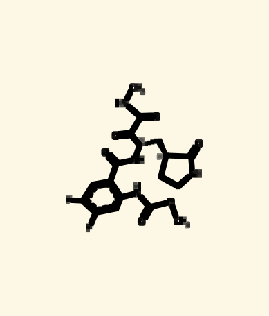 CNC(=O)C(=O)[C@H](C[C@@H]1CCNC1=O)NC(=O)c1cc(F)c(F)cc1NC(=O)OC